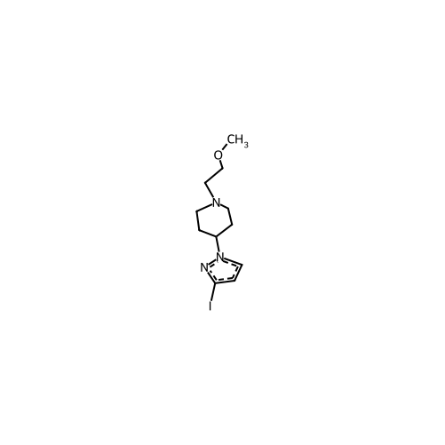 COCCN1CCC(n2ccc(I)n2)CC1